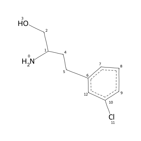 NC(CO)CCc1cccc(Cl)c1